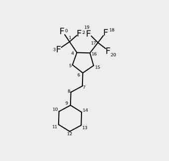 FC(F)(F)C1CC(CCC2CCCCC2)CC1C(F)(F)F